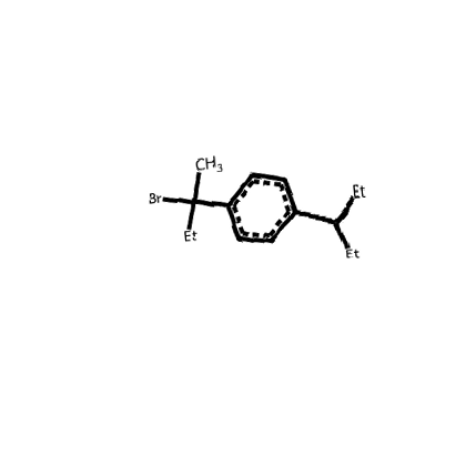 CCC(CC)c1ccc(C(C)(Br)CC)cc1